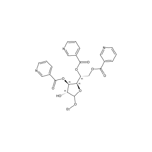 CCOC1O[C@H]([C@@H](COC(=O)c2cccnc2)OC(=O)c2cccnc2)[C@H](OC(=O)c2cccnc2)[C@H]1O